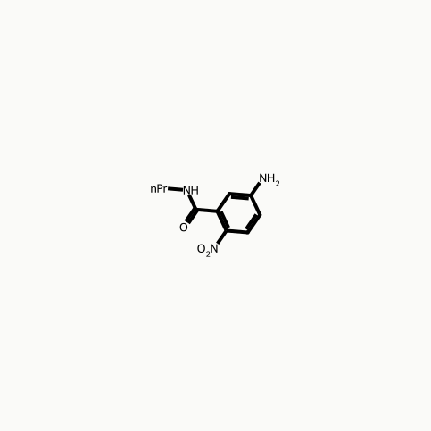 CCCNC(=O)c1cc(N)ccc1[N+](=O)[O-]